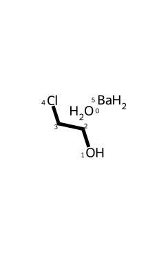 O.OCCCl.[BaH2]